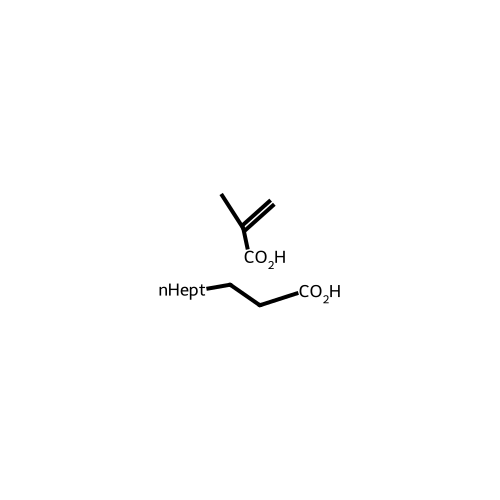 C=C(C)C(=O)O.CCCCCCCCCC(=O)O